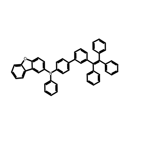 c1ccc(C(=C(c2ccccc2)c2cccc(-c3ccc(N(c4ccccc4)c4ccc5oc6ccccc6c5c4)cc3)c2)c2ccccc2)cc1